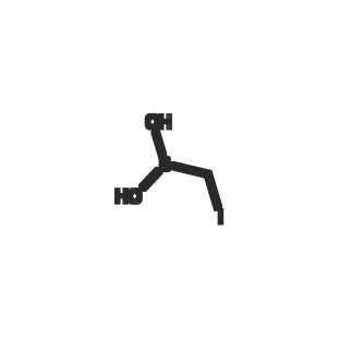 OB(O)CI